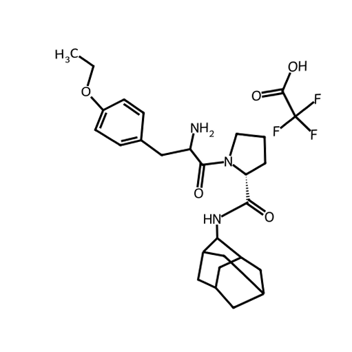 CCOc1ccc(CC(N)C(=O)N2CCC[C@@H]2C(=O)NC2C3CC4CC(C3)CC2C4)cc1.O=C(O)C(F)(F)F